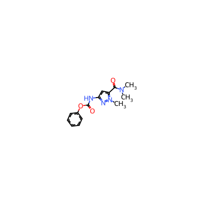 CN(C)C(=O)c1cc(NC(=O)Oc2ccccc2)nn1C